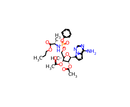 CCCOC(=O)[C@H](C)N[P@](=O)(OC[C@@]1(C)O[C@@H](c2ccc3c(N)ncnn23)[C@H](OC(C)=O)[C@@H]1OC(C)=O)Oc1ccccc1